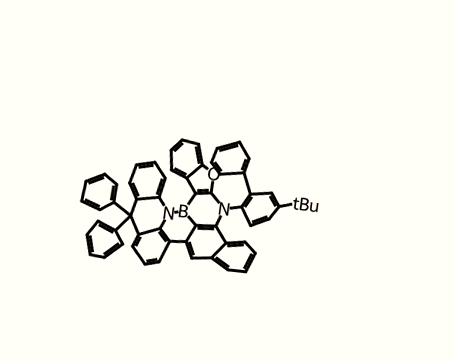 CC(C)(C)c1ccc(N2c3oc4ccccc4c3B3c4c(cc5ccccc5c42)-c2cccc4c2N3c2ccccc2C4(c2ccccc2)c2ccccc2)c(-c2ccccc2)c1